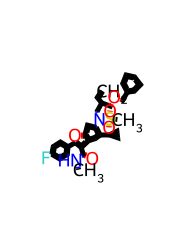 C=CC(COCc1ccccc1)CN(c1cc2oc(-c3ccc(F)cc3)c(C(=O)NC)c2cc1C1CC1)S(C)(=O)=O